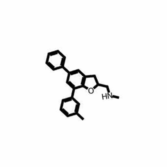 CNCC1Cc2cc(-c3ccccc3)cc(-c3cccc(C)c3)c2O1